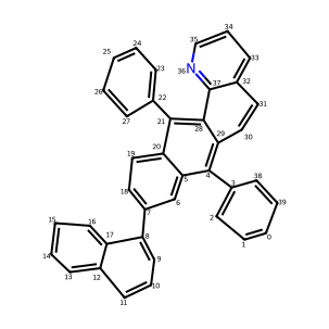 c1ccc(-c2c3cc(-c4cccc5ccccc45)ccc3c(-c3ccccc3)c3c2ccc2cccnc23)cc1